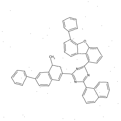 CC1CC(c2nc(-c3cccc4ccccc34)nc(-c3cccc4oc5c(-c6ccccc6)cccc5c34)n2)=Cc2ccc(-c3ccccc3)cc21